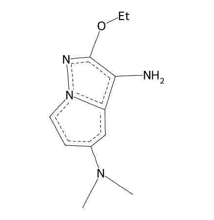 CCOc1nn2ccc(N(C)C)cc2c1N